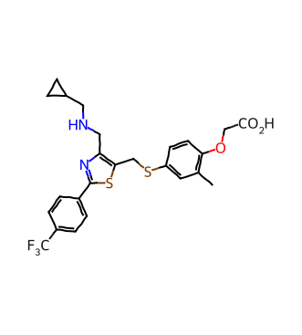 Cc1cc(SCc2sc(-c3ccc(C(F)(F)F)cc3)nc2CNCC2CC2)ccc1OCC(=O)O